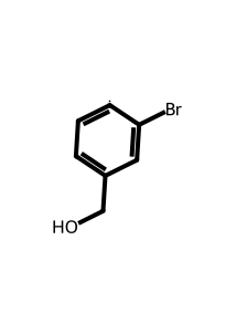 OCc1cc[c]c(Br)c1